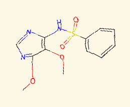 COc1ncnc(NS(=O)(=O)c2ccccc2)c1OC